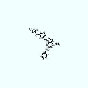 COC(=O)Cc1cccc(Cn2cnc3c(N)nc(OCc4ccccc4)nc32)c1